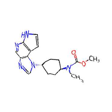 COC(=O)N(C)[C@H]1CC[C@H](n2cnc3cnc4[nH]ccc4c32)CC1